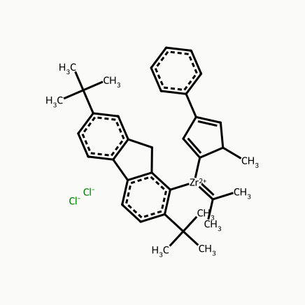 C[C](C)=[Zr+2]([C]1=CC(c2ccccc2)=CC1C)[c]1c(C(C)(C)C)ccc2c1Cc1cc(C(C)(C)C)ccc1-2.[Cl-].[Cl-]